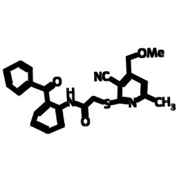 COCc1cc(C)nc(SCC(=O)Nc2ccccc2C(=O)c2ccccc2)c1C#N